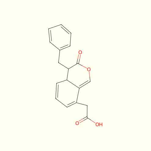 O=C(O)CC1=CC=CC2C1=COC(=O)C2Cc1ccccc1